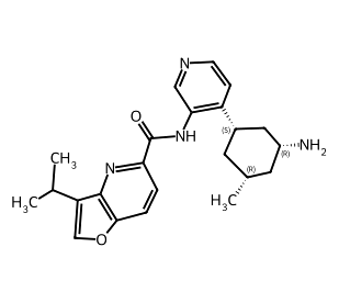 CC(C)c1coc2ccc(C(=O)Nc3cnccc3[C@H]3C[C@@H](C)C[C@@H](N)C3)nc12